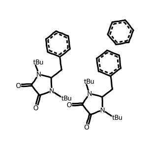 CC(C)(C)N1C(=O)C(=O)N(C(C)(C)C)C1Cc1ccccc1.CC(C)(C)N1C(=O)C(=O)N(C(C)(C)C)C1Cc1ccccc1.c1ccccc1